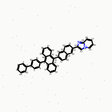 c1ccc(-c2ccc(-c3c4ccccc4c(-c4ccc5cc(-c6cn7ccccc7n6)ccc5c4)c4ccccc34)cc2)cc1